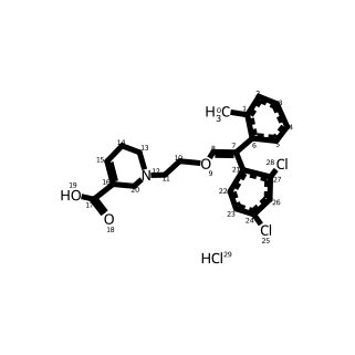 Cc1ccccc1C(=COCCN1CCC=C(C(=O)O)C1)c1ccc(Cl)cc1Cl.Cl